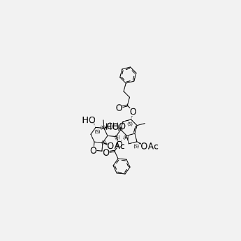 CC(=O)O[C@H]1C[C@]2(C)C1=C(C)[C@@H](OC(=O)CCc1ccccc1)C[C@@]2(O)[C@@H](OC(=O)c1ccccc1)C1[C@]2(OC(C)=O)COC2C[C@H](O)[C@@]1(C)C=O